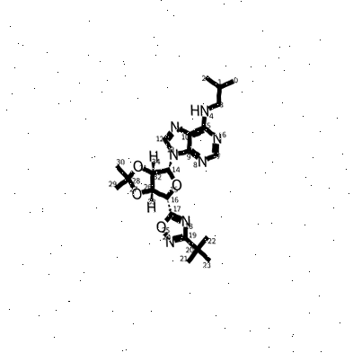 CC(C)CNc1ncnc2c1ncn2[C@@H]1O[C@H](c2nc(C(C)(C)C)no2)[C@@H]2OC(C)(C)O[C@@H]21